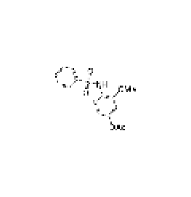 COc1cc(OC(C)=O)cnc1NS(=O)(=O)c1ccccc1